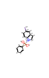 O=S(=O)(c1ccccc1)n1ccc2cc(I)ccc21